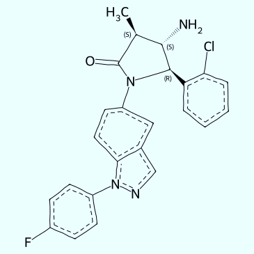 C[C@@H]1C(=O)N(c2ccc3c(cnn3-c3ccc(F)cc3)c2)[C@H](c2ccccc2Cl)[C@H]1N